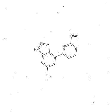 COc1cccc(-c2cc(C(F)(F)F)cc3[nH]ncc23)n1